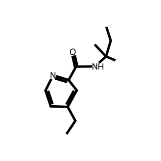 CCc1ccnc(C(=O)NC(C)(C)CC)c1